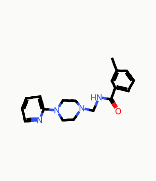 Cc1cccc(C(=O)NCN2CCN(c3ccccn3)CC2)c1